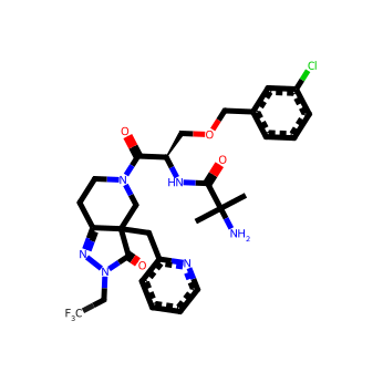 CC(C)(N)C(=O)N[C@H](COCc1cccc(Cl)c1)C(=O)N1CCC2=NN(CC(F)(F)F)C(=O)C2(Cc2ccccn2)C1